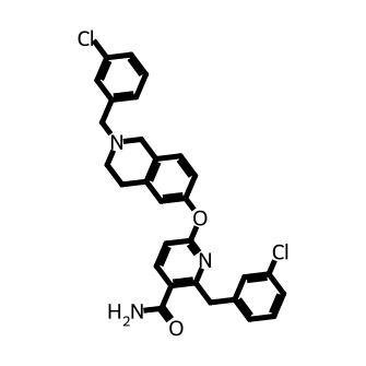 NC(=O)c1ccc(Oc2ccc3c(c2)CCN(Cc2cccc(Cl)c2)C3)nc1Cc1cccc(Cl)c1